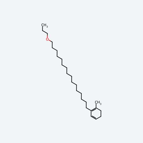 CCCOCCCCCCCCCCCCCCCCC1=C(C)CCC=C1